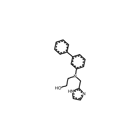 OCCN(Cc1ncc[nH]1)c1cccc(-c2ccccc2)c1